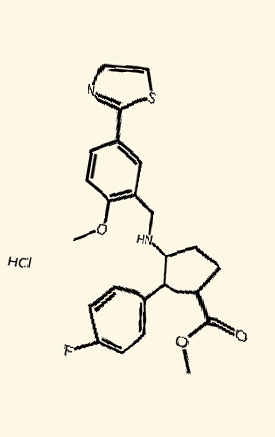 COC(=O)C1CCC(NCc2cc(-c3nccs3)ccc2OC)C1c1ccc(F)cc1.Cl